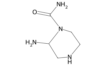 NC(=O)N1CCNCC1N